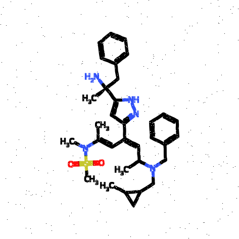 C/C(=C\C(=C/C(C)N(Cc1ccccc1)CC1CC1C)c1cc([C@](C)(N)Cc2ccccc2)[nH]n1)N(C)S(C)(=O)=O